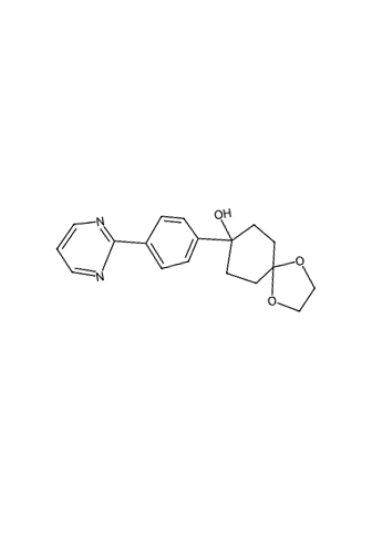 OC1(c2ccc(-c3ncccn3)cc2)CCC2(CC1)OCCO2